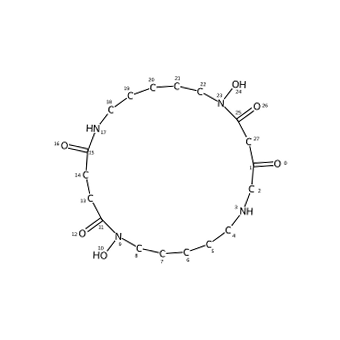 O=C1CNCCCCCN(O)C(=O)CCC(=O)NCCCCCN(O)C(=O)C1